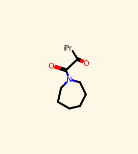 CC(C)C(=O)C(=O)N1CCCCCC1